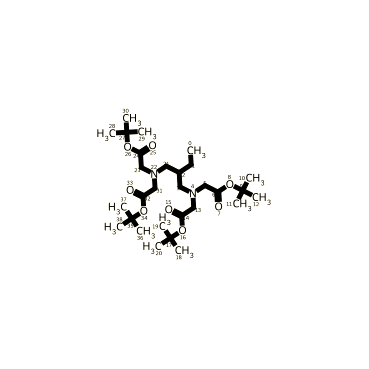 CCC(CN(CC(=O)OC(C)(C)C)CC(=O)OC(C)(C)C)CN(CC(=O)OC(C)(C)C)CC(=O)OC(C)(C)C